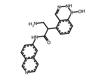 NCC(C(=O)Nc1ccc2cnccc2c1)c1cccc2c1C=NNB2O